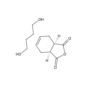 O=C1OC(=O)[C@@H]2CC=CC[C@H]12.OCCCCO